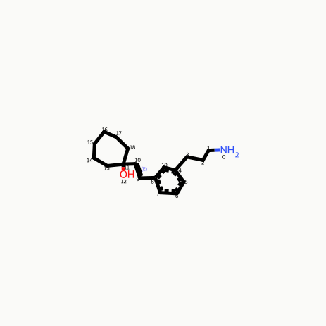 NCCCc1cccc(/C=C/C2(O)CCCCCC2)c1